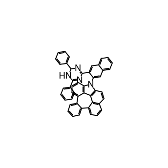 c1ccc(C2=NC(c3cc4ccccc4cc3-n3c4cccc5c4c4c6c(cccc6ccc43)-c3ccccc3-5)=NC(c3ccccc3)N2)cc1